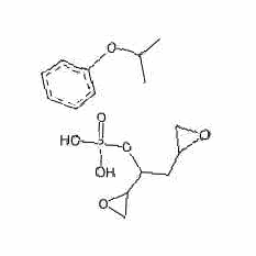 CC(C)Oc1ccccc1.O=P(O)(O)OC(CC1CO1)C1CO1